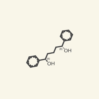 O[C@H](CCC[C@@H](O)c1ccccc1)c1ccccc1